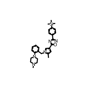 Cc1cc(-c2nc(-c3ccc([Si](C)(C)C)cc3)no2)cn1Cc1c[c]ccc1N1CCN(C)CC1